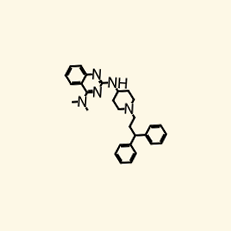 CN(C)c1nc(NC2CCN(CCC(c3ccccc3)c3ccccc3)CC2)nc2ccccc12